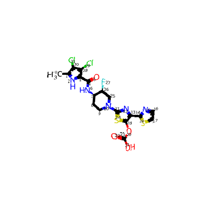 Cc1[nH]c(C(=O)N[C@@H]2CCN(c3nc(-c4nccs4)c(OC(=O)O)s3)C[C@@H]2F)c(Cl)c1Cl